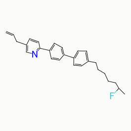 C=CCc1ccc(-c2ccc(-c3ccc(CCCCCC(C)F)cc3)cc2)nc1